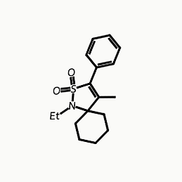 CCN1C2(CCCCC2)C(C)=C(c2ccccc2)S1(=O)=O